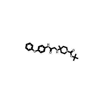 CC1(NCC(=O)Nc2ccc(Oc3ccccc3)cc2)CCN(C(=O)OC(C)(C)C)CC1